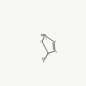 ClC1C=CNC1